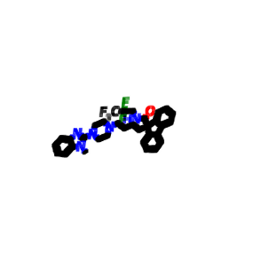 Cn1c(N2CCN(CCCCC3(C(=O)NCC(F)(F)C(F)(F)F)c4ccccc4-c4ccccc43)CC2)nc2ccccc21